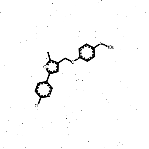 Cc1oc(-c2ccc(Cl)cc2)cc1COc1ccc(SC(C)(C)C)cc1